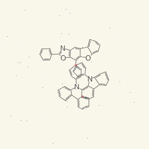 c1ccc(-c2nc3cc4c(oc5ccccc54)c(-c4ccc(N(c5ccccc5-c5ccccc5)c5cccc6c7ccccc7n(-c7ccccc7)c56)cc4)c3o2)cc1